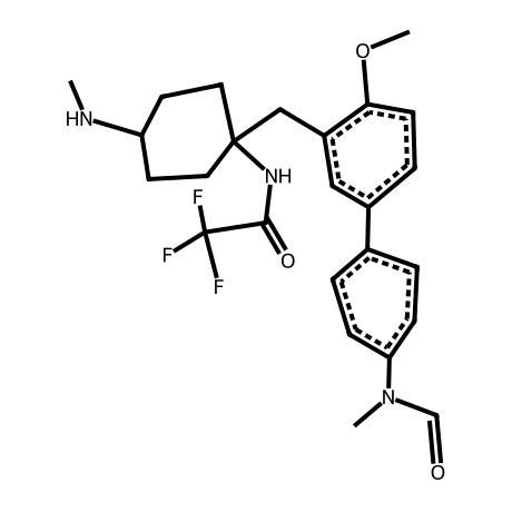 CNC1CCC(Cc2cc(-c3ccc(N(C)C=O)cc3)ccc2OC)(NC(=O)C(F)(F)F)CC1